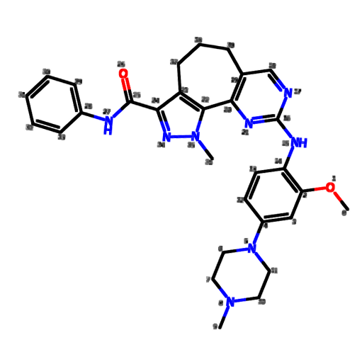 COc1cc(N2CCN(C)CC2)ccc1Nc1ncc2c(n1)-c1c(c(C(=O)Nc3ccccc3)nn1C)CCC2